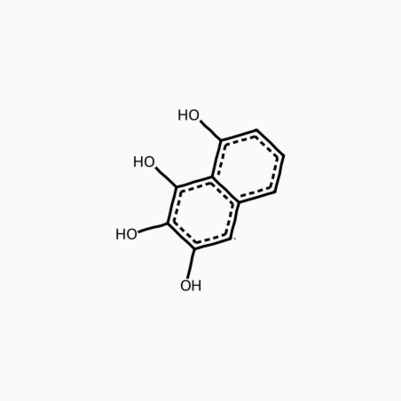 Oc1[c]c2cccc(O)c2c(O)c1O